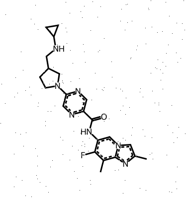 Cc1cn2cc(NC(=O)c3cnc(N4CCC(CNC5CC5)C4)cn3)c(F)c(C)c2n1